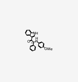 COc1ccc(N[C@H](C(=O)c2c[nH]c3ccccc23)c2ccccc2)cc1